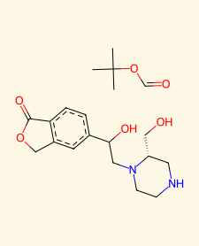 CC(C)(C)OC=O.O=C1OCc2cc(C(O)CN3CCNC[C@H]3CO)ccc21